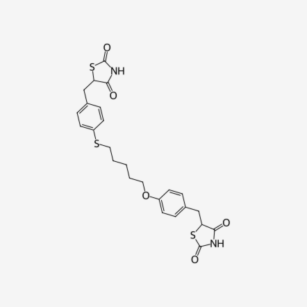 O=C1NC(=O)C(Cc2ccc(OCCCCCSc3ccc(CC4SC(=O)NC4=O)cc3)cc2)S1